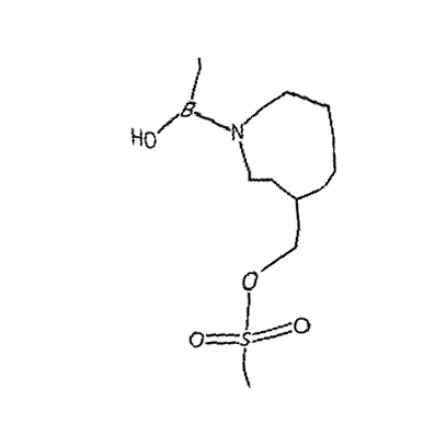 CB(O)N1CCCC(COS(C)(=O)=O)C1